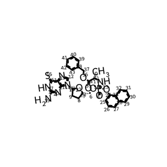 C[C@H](NP(=O)(OC[C@@H]1CC[C@H](n2cnc3c(=S)[nH]c(N)nc32)O1)Oc1cccc2ccccc12)C(=O)OCc1ccccc1